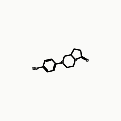 CC(C)(C)c1ccc(N2CCN3C(=O)CCC3C2)cc1